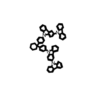 c1ccc2c(c1)c1ccccc1n2-c1ccc2c(c1)c1ccccc1n2-c1ccc(C2(c3ccc(-n4c5ccccc5c5cc(-n6c7ccccc7c7ccccc76)ccc54)cc3)CCCCC2)cc1